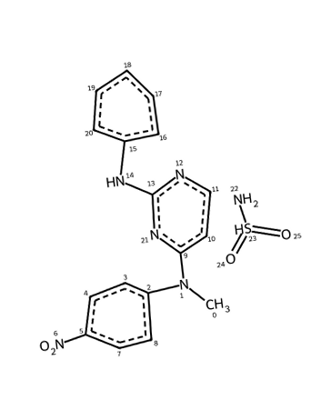 CN(c1ccc([N+](=O)[O-])cc1)c1ccnc(Nc2ccccc2)n1.N[SH](=O)=O